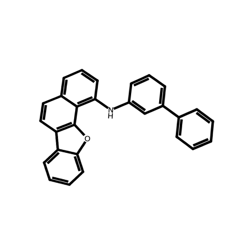 c1ccc(-c2cccc(Nc3cccc4ccc5c6ccccc6oc5c34)c2)cc1